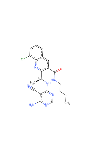 CCCCNC(=O)c1cc2cccc(Cl)c2nc1[C@H](C)Nc1ncnc(N)c1C#N